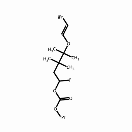 CC(C)/C=C/OC(C)(C)C(C)(C)CC(F)OC(=O)OC(C)C